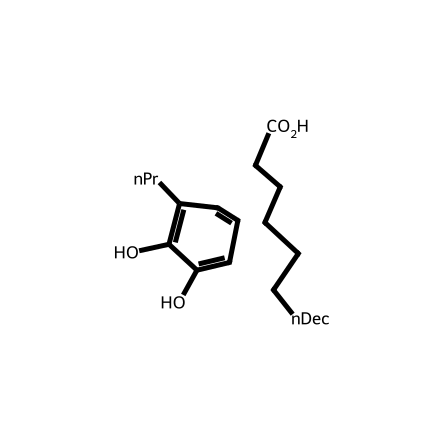 CCCCCCCCCCCCCCCC(=O)O.CCCc1cccc(O)c1O